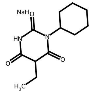 CCC1C(=O)NC(=O)N(C2CCCCC2)C1=O.[NaH]